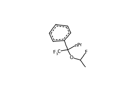 CCCC(OC(C)F)(c1ccccc1)C(F)(F)F